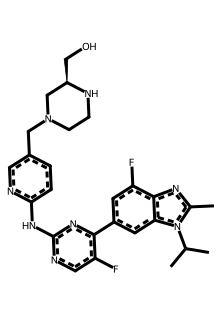 Cc1nc2c(F)cc(-c3nc(Nc4ccc(CN5CCN[C@H](CO)C5)cn4)ncc3F)cc2n1C(C)C